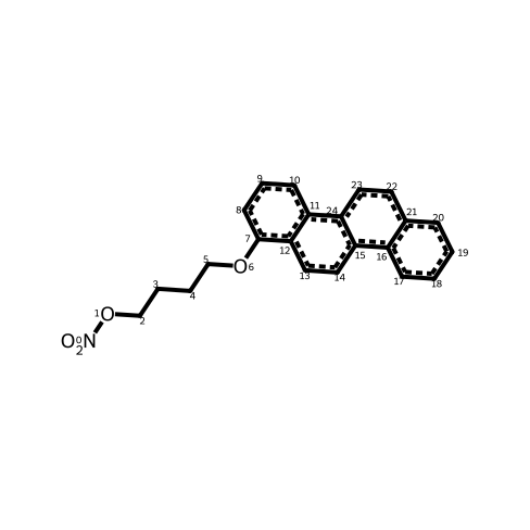 O=[N+]([O-])OCCCCOc1cccc2c1ccc1c3ccccc3ccc21